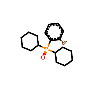 O=P(c1ccccc1Br)(C1CCCCC1)C1CCCCC1